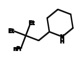 CCCC(CC)(CC)CC1CCCCN1